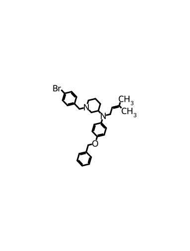 CC(C)=CCN(c1ccc(OCc2ccccc2)cc1)C1CCCN(Cc2ccc(Br)cc2)C1